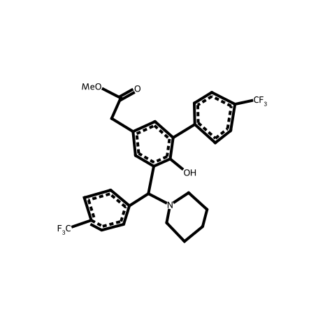 COC(=O)Cc1cc(-c2ccc(C(F)(F)F)cc2)c(O)c(C(c2ccc(C(F)(F)F)cc2)N2CCCCC2)c1